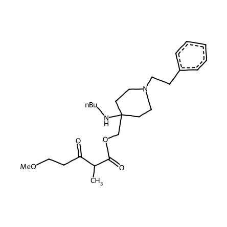 CCCCNC1(COC(=O)C(C)C(=O)CCOC)CCN(CCc2ccccc2)CC1